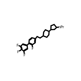 CCCC1CCC(C2CCC(CCc3ccc(-c4cc(F)c(F)c(F)c4)c(F)c3)CC2)C1